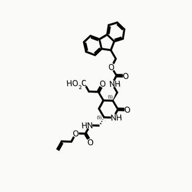 C=CCOC(=O)NC[C@@H]1CC(C(=O)CC(=O)O)[C@@H](CNC(=O)OCC2c3ccccc3-c3ccccc32)C(=O)N1